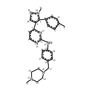 Cc1ccc(-c2c(-c3ccnc(Nc4ccc(CN5CCN(C)CC5)cc4)n3)cnn2C)cc1